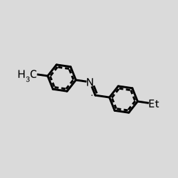 CCc1ccc([C]=Nc2ccc(C)cc2)cc1